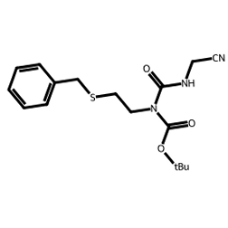 CC(C)(C)OC(=O)N(CCSCc1ccccc1)C(=O)NCC#N